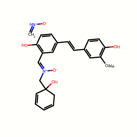 C=[NH+][O-].COc1cc(C=Cc2ccc(O)c(C=[N+]([O-])CC3(O)C=CC=CC3)c2)ccc1O